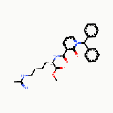 COC(=O)[C@H](CCCCNC(C)=N)NC(=O)c1cccn(C(c2ccccc2)c2ccccc2)c1=O